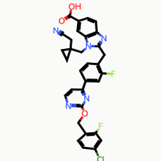 N#CCC1(Cn2c(Cc3ccc(-c4ccnc(OCc5ccc(Cl)cc5F)n4)cc3F)nc3ccc(C(=O)O)cc32)CC1